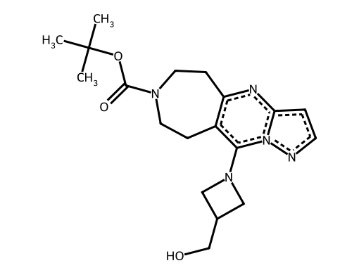 CC(C)(C)OC(=O)N1CCc2nc3ccnn3c(N3CC(CO)C3)c2CC1